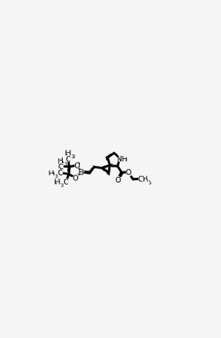 CCOC(=O)C1NCCC12CC2CCB1OC(C)(C)C(C)(C)O1